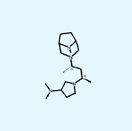 C[C@H](C[C@H](C)N1CC2CCC(C1)N2C)N1CCC(N(C)C)C1